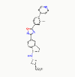 Cc1cc(-c2nc(-c3ccc4c(c3)CCC4N[C@H]3C[C@H](C(=O)O)C3)no2)ccc1-c1ccncc1